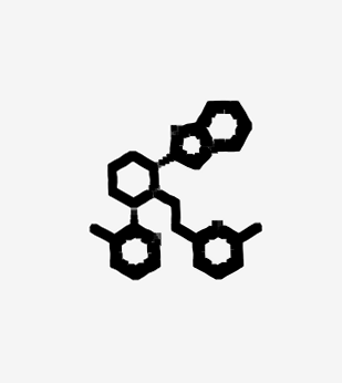 Cc1cccc(CCN2[C@@H](c3cn4ccccc4n3)CCC[C@H]2c2ncccc2C)n1